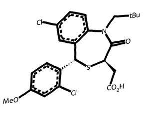 COc1ccc([C@H]2S[C@H](CC(=O)O)C(=O)N(CC(C)(C)C)c3ccc(Cl)cc32)c(Cl)c1